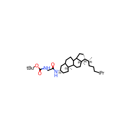 CC(C)CCC[C@@H](C)[C@H]1CCC2C3CCC4C[C@@H](NC(=O)CNC(=O)OC(C)(C)C)CC[C@]4(C)C3CC[C@@]21C